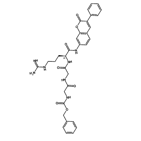 N=C(N)NCCC[C@H](NC(=O)CNC(=O)CNC(=O)OCc1ccccc1)C(=O)Nc1ccc2cc(-c3ccccc3)c(=O)oc2c1